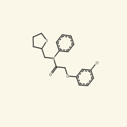 O=C(COc1cccc(Cl)c1)N(CC1CCCS1)c1ccccc1